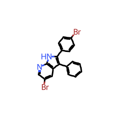 Brc1ccc(-c2[nH]c3ncc(Br)cc3c2-c2ccccc2)cc1